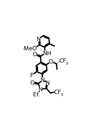 CCn1c(CC(F)(F)F)nn(-c2cc(O[C@@H](C)C(F)(F)F)c(C(=O)Nc3c(C)ccnc3OC)cc2F)c1=O